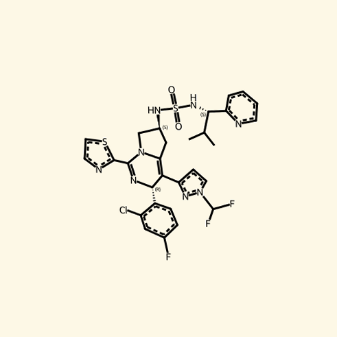 CC(C)[C@H](NS(=O)(=O)N[C@H]1CC2=C(c3ccn(C(F)F)n3)[C@H](c3ccc(F)cc3Cl)N=C(c3nccs3)N2C1)c1ccccn1